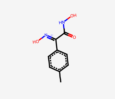 Cc1ccc(/C(=N\O)C(=O)NO)cc1